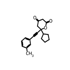 Cc1cccc(C#CC2(C3CCCC3)CC(=O)CC(=O)O2)c1